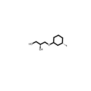 OC[C@H](O)COC1CCC[C@H](I)C1